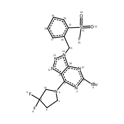 CC(C)(C)c1nc(N2CCC(F)(F)C2)c2nnn(Cc3ccccc3S(=O)(=O)F)c2n1